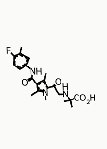 Cc1cc(NC(=O)c2c(C)c(C(=O)CNC(C)(C)C(=O)O)n(C)c2C)ccc1F